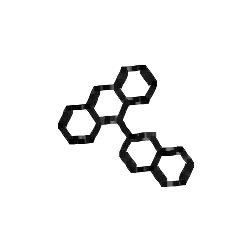 [c]1c(-c2c3ccccc3cc3ccccc23)ccc2ccccc12